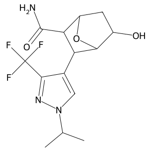 CC(C)n1cc(C2C3OC(CC3O)C2C(N)=O)c(C(F)(F)F)n1